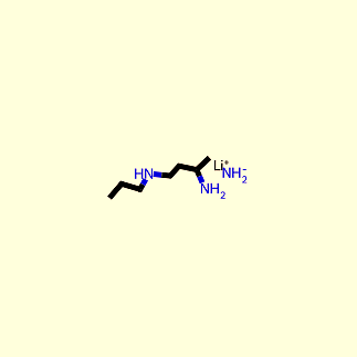 CCCNCCC(C)N.[Li+].[NH2-]